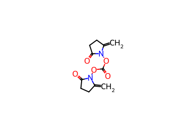 C=C1CCC(=O)N1OC(=O)ON1C(=C)CCC1=O